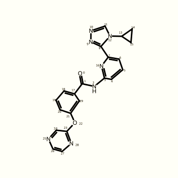 O=C(Nc1cccc(-c2nncn2C2CC2)n1)c1cccc(Oc2cnccn2)c1